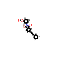 O=C1c2ccc(C#Cc3ccccc3)cc2C(=O)N1c1cccc(O)c1